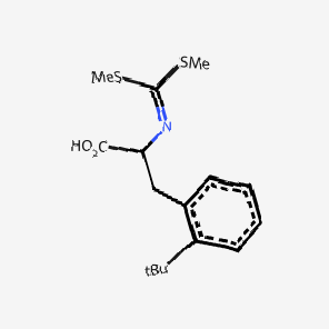 CSC(=NC(Cc1ccccc1C(C)(C)C)C(=O)O)SC